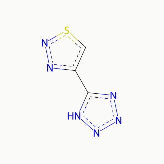 c1snnc1-c1nnn[nH]1